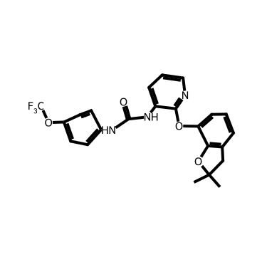 CC1(C)Cc2cccc(Oc3ncccc3NC(=O)Nc3ccc(OC(F)(F)F)cc3)c2O1